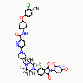 [2H]C1([2H])N(CC2CCN(c3ccc(C(=O)NC4CCC(Oc5ccc(C#N)c(Cl)c5)CC4)nn3)CC2)C([2H])([2H])C([2H])([2H])N(c2ccc3c(c2F)C(=O)N(C2CCC(=O)NC2=O)C3=O)C1([2H])[2H]